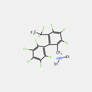 CCNCC.Fc1c(F)c(F)c(-c2c(C(F)(F)F)c(F)c(F)c(F)c2C(F)(F)C(F)(F)F)c(F)c1F